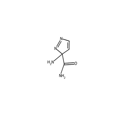 NC(=O)C1(N)C=CN=N1